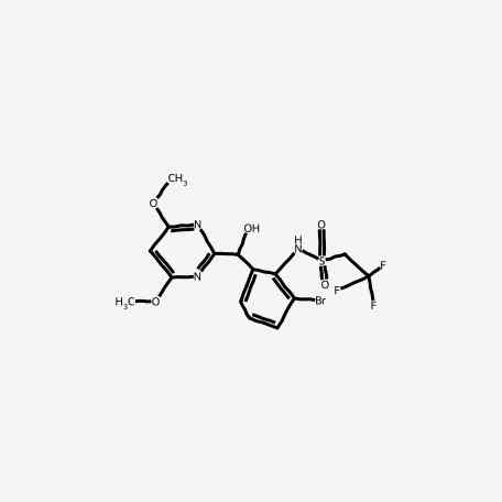 COc1cc(OC)nc(C(O)c2cccc(Br)c2NS(=O)(=O)CC(F)(F)F)n1